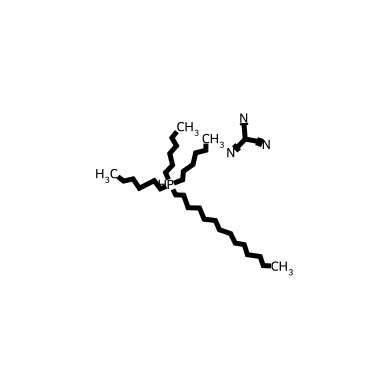 CCCCCCCCCCCCCC[PH](CCCCCC)(CCCCCC)CCCCCC.N#CC(C#N)C#N